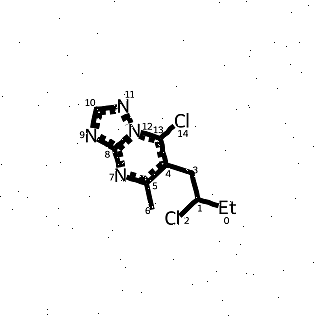 CCC(Cl)Cc1c(C)nc2ncnn2c1Cl